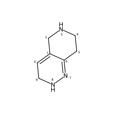 C1=C2CNCCC2=NNC1